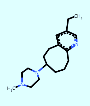 CCc1cnc2c(c1)CCC(N1CCN(C)CC1)CCC2